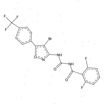 O=C(NC(=O)c1c(F)cccc1F)Nc1noc(-c2ccc(C(F)(F)F)cc2)c1Br